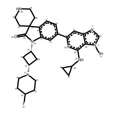 CC(C)n1cnc2cc(-c3ccc4c(c3)N([C@H]3C[C@@H](N5CCC(F)CC5)C3)C(=O)C43CCNCC3)nc(NC3CC3)c21